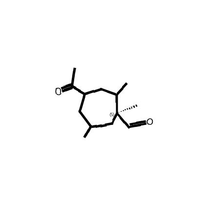 CC(=O)C1CC(C)C[C@](C)(C=O)C(C)C1